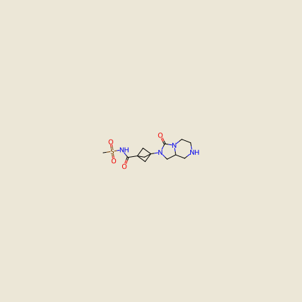 CS(=O)(=O)NC(=O)C12CC(N3CC4CNCCN4C3=O)(C1)C2